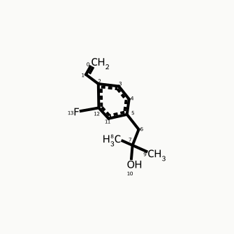 C=Cc1ccc(CC(C)(C)O)cc1F